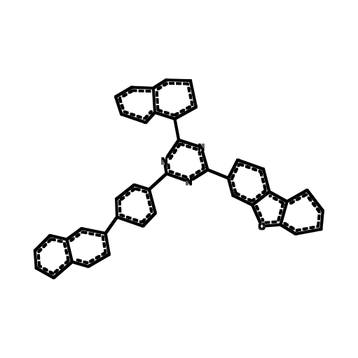 c1ccc2cc(-c3ccc(-c4nc(-c5ccc6c(c5)oc5ccccc56)nc(-c5cccc6ccccc56)n4)cc3)ccc2c1